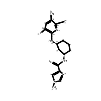 Cn1cnc(C(=O)N[C@@H]2CCC[C@H](Nc3nc(Cl)c(C#N)cc3F)C2)c1